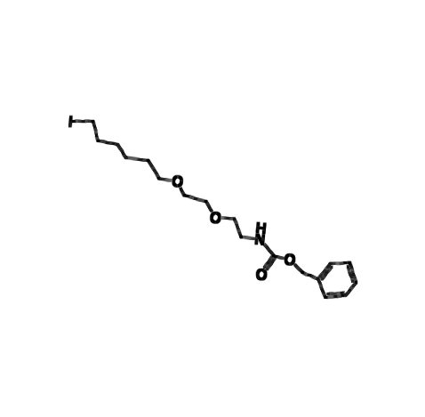 O=C(NCCOCCOCCCCCCI)OCc1ccccc1